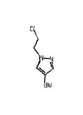 CC(C)(C)c1cnn(CCCl)c1